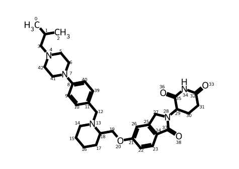 CC(C)CN1CCN(c2ccc(CN3CCCCC3COc3ccc4c(c3)CN(C3CCC(=O)NC3=O)C4=O)cc2)CC1